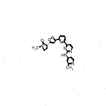 Cc1cc(Nc2nccc(-c3cccc(-c4cc([C@@H]5CCN(C)C5=O)on4)n3)n2)ccn1